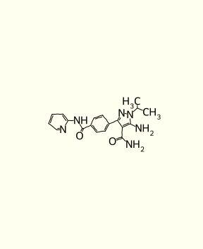 CC(C)n1nc(-c2ccc(C(=O)Nc3ccccn3)cc2)c(C(N)=O)c1N